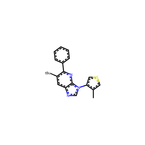 Cc1cscc1-n1cnc2cc(C(C)(C)C)c(-c3ccccc3)nc21